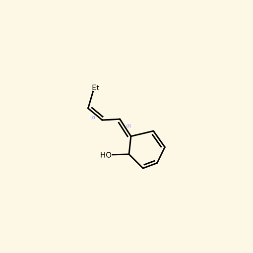 CC/C=C\C=C1\C=CC=CC1O